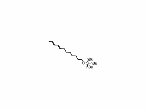 CC=C/C=C/CCCCCCCO[Si](CCCC)(CCCC)CCCC